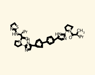 CC(C)[C@H](C)C(=O)N1CCC[C@H]1c1ncc(-c2ccc(-c3ccc(-c4cnc([C@@H]5CCCN5C(=O)[C@@H](NC5=NCCS5)C(C)C)[nH]4)cc3)cc2)[nH]1